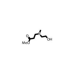 COC(=O)CCN(C)CCO